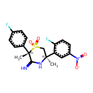 C[C@@]1(c2cc([N+](=O)[O-])ccc2F)CS(=O)(=O)[C@@](C)(c2ccc(F)cc2)C(=N)N1